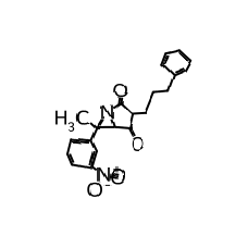 CC1(c2cccc([N+](=O)[O-])c2)C2C(=O)C(CCCc3ccccc3)C(=O)N21